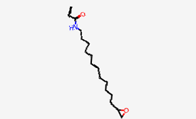 C=CC(=O)NCCCCCCCCCCCCC1CO1